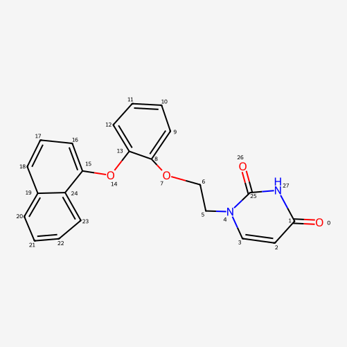 O=c1ccn(CCOc2ccccc2Oc2cccc3ccccc23)c(=O)[nH]1